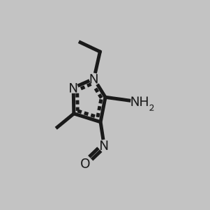 CCn1nc(C)c(N=O)c1N